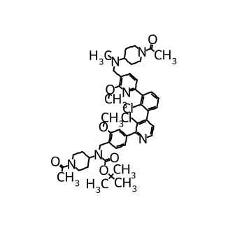 COc1cc(-c2nccc(-c3cccc(-c4ccc(CN(C)C5CCN(C(C)=O)CC5)c(OC)n4)c3Cl)c2Cl)ccc1CN(C(=O)OC(C)(C)C)C1CCN(C(C)=O)CC1